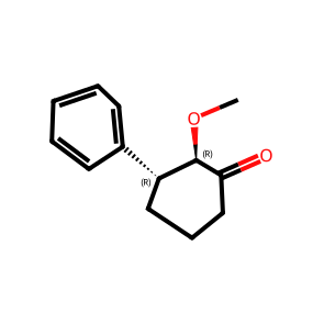 CO[C@H]1C(=O)CCC[C@@H]1c1ccccc1